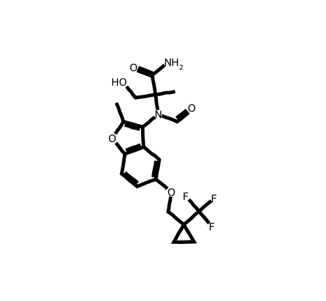 Cc1oc2ccc(OCC3(C(F)(F)F)CC3)cc2c1N(C=O)C(C)(CO)C(N)=O